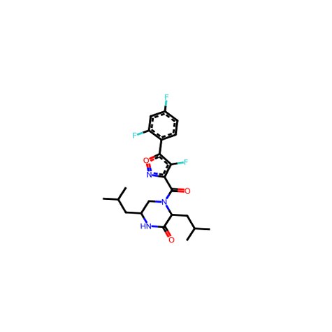 CC(C)CC1CN(C(=O)c2noc(-c3ccc(F)cc3F)c2F)C(CC(C)C)C(=O)N1